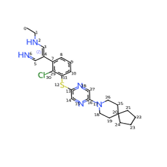 CCN/C=C(\C=N)c1cccc(Sc2cnc(N3CCC4(CCCC4)CC3)cn2)c1Cl